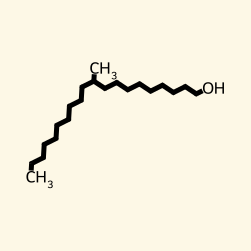 CCCCCCCCCCC(C)CCCCCCCCCO